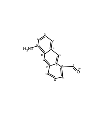 Nc1cccc2cc3c(C=O)cccc3cc12